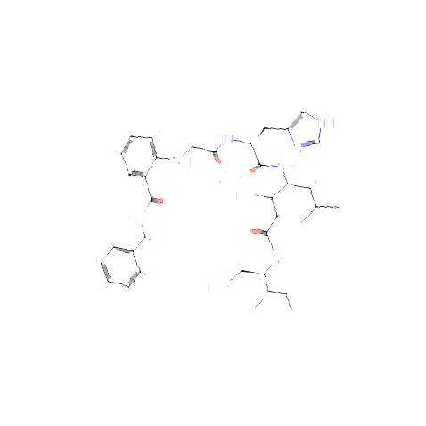 CCC(C)[C@@H](CO)NC(=O)CC(O)C(CC(C)C)NC(=O)[C@H](Cc1c[nH]cn1)NC(=O)CNc1ccccc1C(=O)OCc1ccccc1